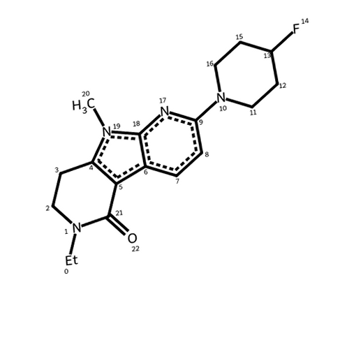 CCN1CCc2c(c3ccc(N4CCC(F)CC4)nc3n2C)C1=O